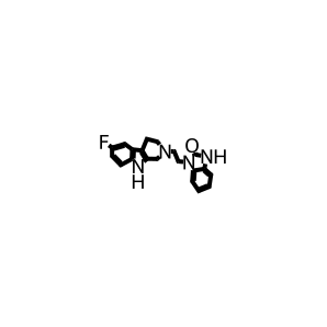 O=c1[nH]c2ccccc2n1CCN1CCc2c([nH]c3ccc(F)cc23)C1